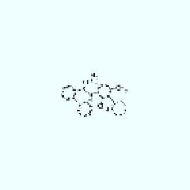 Cc1cc(C)c(N2CCCCC2)c(C)c1NC(=O)c1ccccc1-c1ccccc1